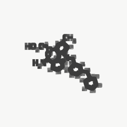 Cc1cc(OCC(=O)O)c2c3c(C(N)=O)cccc3n(Cc3cccc(Cc4ccccc4)c3)c2c1